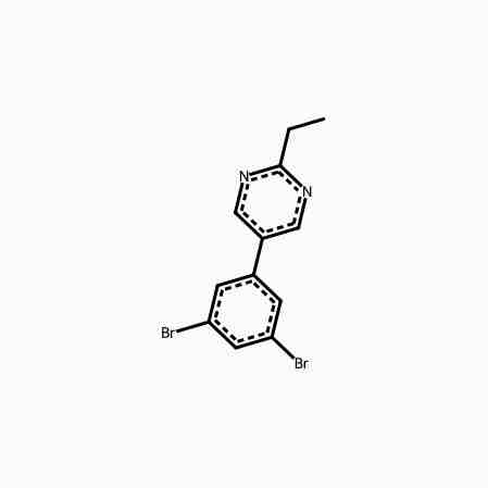 CCc1ncc(-c2cc(Br)cc(Br)c2)cn1